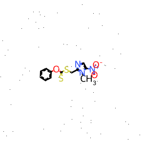 Cn1c([N+](=O)[O-])cnc1CSC(=S)Oc1ccccc1